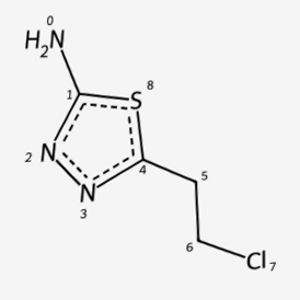 Nc1nnc(CCCl)s1